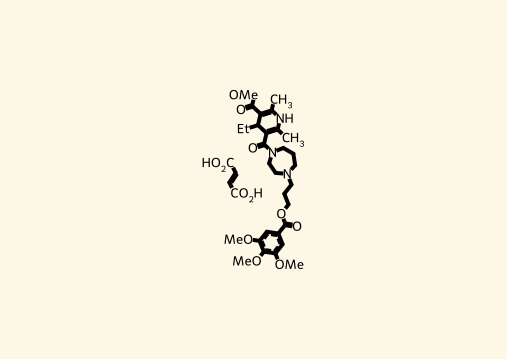 CCC1C(C(=O)OC)=C(C)NC(C)=C1C(=O)N1CCCN(CCCOC(=O)c2cc(OC)c(OC)c(OC)c2)CC1.O=C(O)/C=C/C(=O)O